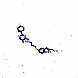 Cc1cnc(-c2ccc(F)cc2)nc1CNCCCOc1ccc2[nH]c(CC(=O)O)cc2c1